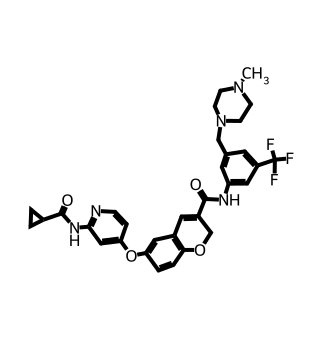 CN1CCN(Cc2cc(NC(=O)C3=Cc4cc(Oc5ccnc(NC(=O)C6CC6)c5)ccc4OC3)cc(C(F)(F)F)c2)CC1